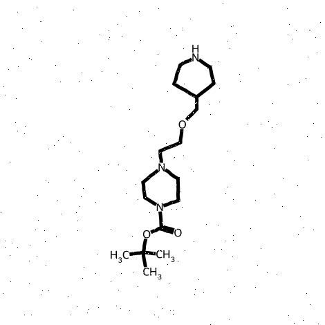 CC(C)(C)OC(=O)N1CCN(CCOCC2CCNCC2)CC1